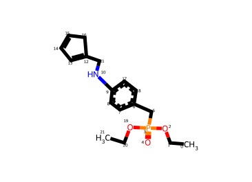 CCOP(=O)(Cc1ccc(NCC2=CC=CC2)cc1)OCC